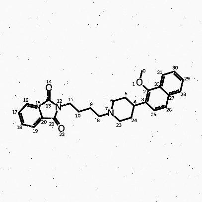 COc1c(C2CCN(CCCCN3C(=O)c4ccccc4C3=O)CC2)ccc2ccccc12